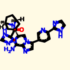 Nc1nc([C@@H]2C[C@H]3CC[C@@H](C2)N3C(=O)c2nnc[nH]2)cn2c(-c3ccc(-c4ncc[nH]4)nc3)cnc12